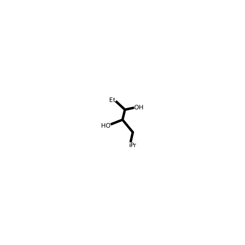 CCC(O)C(O)CC(C)C